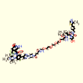 Cc1ncsc1-c1ccc(CNC(=O)[C@@H]2C[C@@H](O)CN2C(=O)[C@@H](NC(=O)CCOCCOCCOCCOCCNC(=O)CCC(=O)N2CCN(c3ncc(-c4cc(NC(=O)c5c[nH]c(=O)cc5C(F)(F)F)c(N5C[C@@H](C)N(C)[C@@H](C)C5)cc4F)cn3)CC2)C(C)(C)C)cc1